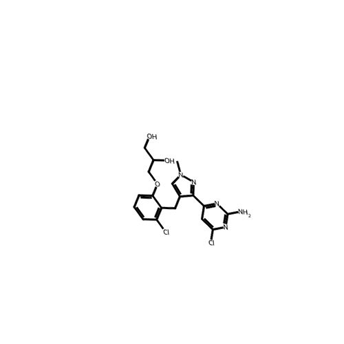 Cn1cc(Cc2c(Cl)cccc2OCC(O)CO)c(-c2cc(Cl)nc(N)n2)n1